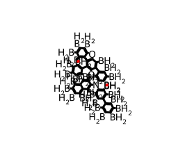 Bc1c(B)c(B)c(-c2c(B)c(B)c(N(c3c(B)c(B)c4c(B)c(B)c(B)c(B)c4c3B)c3c(B)c(B)c(B)c4c3oc3c(-c5c(B)c(B)c(B)c(B)c5B)c5c(oc6c(B)c(B)c(B)c(B)c65)c(B)c34)c(B)c2B)c(B)c1B